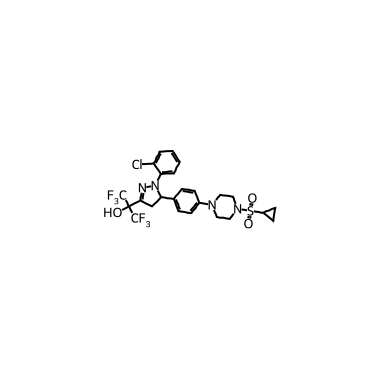 O=S(=O)(C1CC1)N1CCN(c2ccc(C3CC(C(O)(C(F)(F)F)C(F)(F)F)=NN3c3ccccc3Cl)cc2)CC1